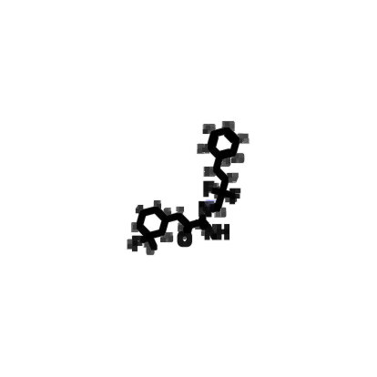 CC1(F)CCCC(CC(=O)C(=N)/N=C/C(F)(F)CCc2ccccc2)C1